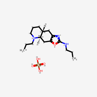 CCCNc1nc2c(o1)C[C@@H]1[C@H](CCCN1CCC)C2.O=S(=O)(O)O